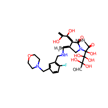 B/C(NCc1cc(CN2CCOCC2)ccc1F)=C1/CN(C(O)(C(=O)NC)C(O)(O)C(O)(O)C=O)C(=O)/C1=C(\O)C(=C)O